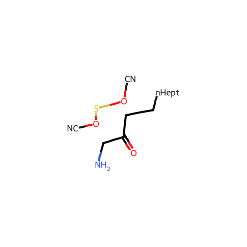 CCCCCCCCCC(=O)CN.N#COSOC#N